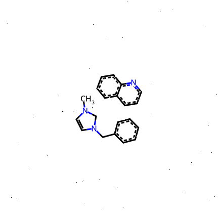 CN1C=CN(Cc2ccccc2)C1.c1ccc2ncccc2c1